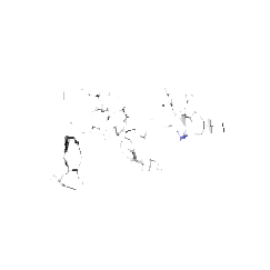 CC(C)(C)OC(=O)N[C@@H](CCCCC/C=C\C(O)(NS(=O)(=O)C1CC1)C1CC1)C(=O)N1C[C@H](OC(=O)c2ccc3nccnc3c2)C[C@H]1C(N)=O